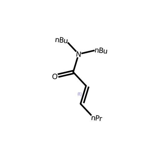 CCC/C=C/C(=O)N(CCCC)CCCC